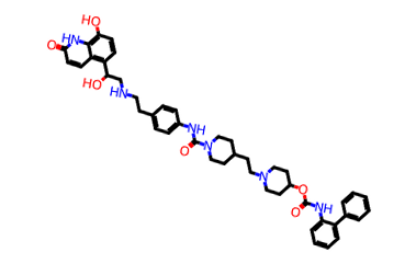 O=C(Nc1ccccc1-c1ccccc1)OC1CCN(CCC2CCN(C(=O)Nc3ccc(CCNCC(O)c4ccc(O)c5[nH]c(=O)ccc45)cc3)CC2)CC1